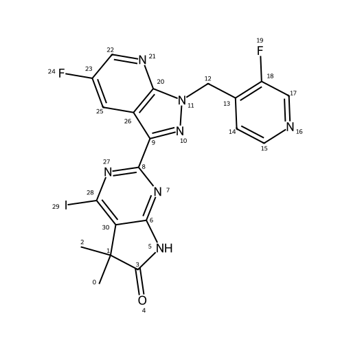 CC1(C)C(=O)Nc2nc(-c3nn(Cc4ccncc4F)c4ncc(F)cc34)nc(I)c21